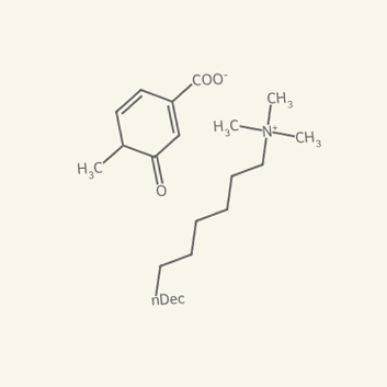 CC1C=CC(C(=O)[O-])=CC1=O.CCCCCCCCCCCCCCCC[N+](C)(C)C